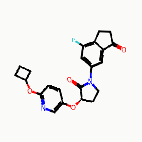 O=C1CCc2c(F)cc(N3CC[C@@H](Oc4ccc(OC5CCC5)nc4)C3=O)cc21